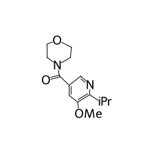 COc1cc(C(=O)N2CCOCC2)cnc1C(C)C